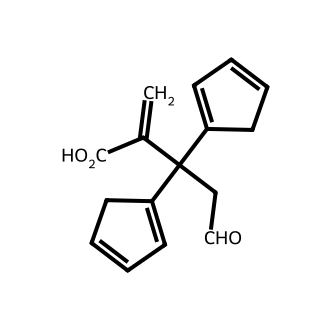 C=C(C(=O)O)C(CC=O)(C1=CC=CC1)C1=CC=CC1